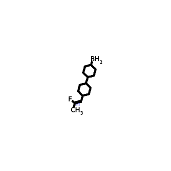 BC1CCC(C2CCC(/C=C(/C)F)CC2)CC1